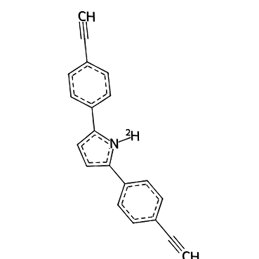 [2H]n1c(-c2ccc(C#C)cc2)ccc1-c1ccc(C#C)cc1